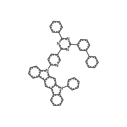 c1ccc(-c2cccc(-c3nc(-c4ccccc4)nc(-c4ccc(-n5c6ccccc6c6cc7c8ccccc8n(-c8ccccc8)c7cc65)nc4)n3)c2)cc1